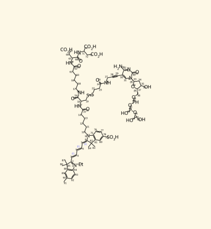 CC[N+]1=C(/C=C/C=C/C=C2/N(CCCCCC(=O)NC(CSSCCC(=O)NCC#Cc3cn([C@H]4CC(O)[C@@H](COPOP(O)OP(O)O)O4)c(=O)nc3N)C(=O)NCCCCCC(=O)NC(CC(=O)O)C(=O)NC(CC(=O)O)C(=O)O)c3ccc(S(=O)(=O)O)cc3C2(C)C)C(C)(C)c2cc(C)ccc21